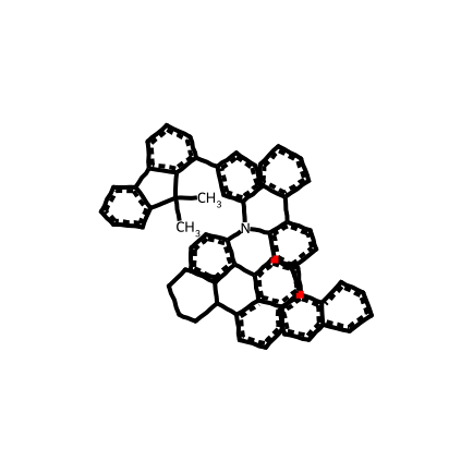 CC1(C)c2ccccc2-c2cccc(-c3cccc(N(c4cc(-c5cccc6ccccc56)ccc4-c4ccccc4)c4ccccc4-c4cccc5cccc(C6CCCCC6)c45)c3)c21